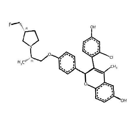 CC1=C(c2ccc(O)cc2Cl)C(c2ccc(OC[C@H](C)N3CC[C@@H](CF)C3)cc2)Oc2ccc(O)cc21